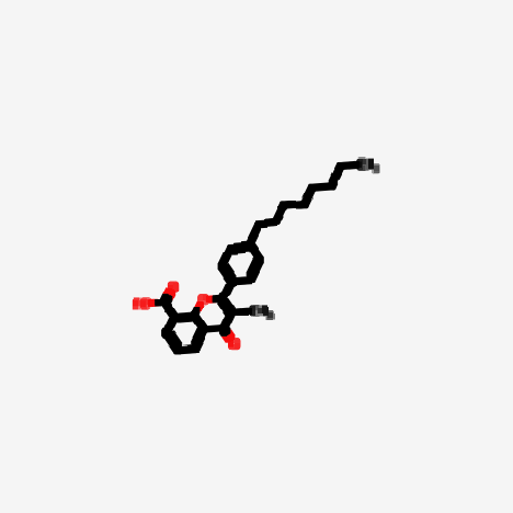 CCCCCCCCc1ccc(-c2oc3c(C(=O)O)cccc3c(=O)c2C)cc1